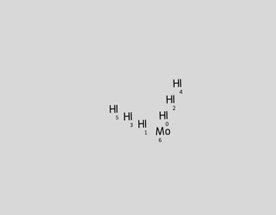 I.I.I.I.I.I.[Mo]